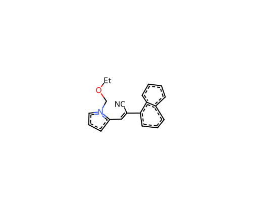 CCOCn1cccc1/C=C(\C#N)c1cccc2ccccc12